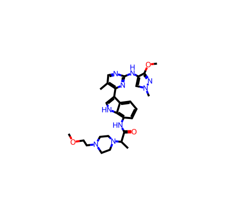 COCCN1CCN(C(C)C(=O)Nc2cccc3c(-c4nc(Nc5cn(C)nc5OC)ncc4C)c[nH]c23)CC1